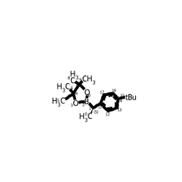 C[C@H](B1OC(C)(C)C(C)(C)O1)c1ccc(C(C)(C)C)cc1